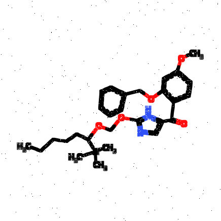 CCCCCC(OCOc1ncc(C(=O)c2ccc(OC)cc2OCc2ccccc2)[nH]1)[Si](C)(C)C